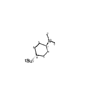 CN(C)[C@H]1CC[C@H](C(C)(C)C)CC1